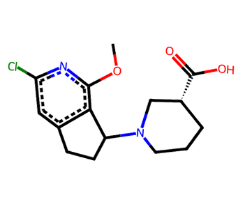 COc1nc(Cl)cc2c1C(N1CCC[C@@H](C(=O)O)C1)CC2